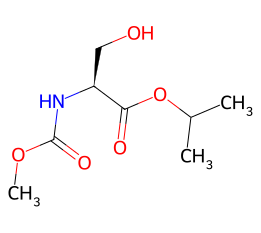 COC(=O)N[C@@H](CO)C(=O)OC(C)C